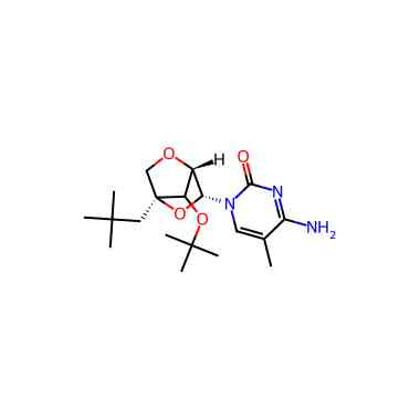 Cc1cn([C@@H]2O[C@@]3(CC(C)(C)C)CO[C@H]2C3OC(C)(C)C)c(=O)nc1N